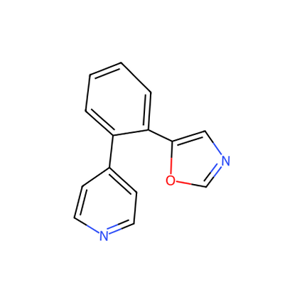 c1ccc(-c2cnco2)c(-c2ccncc2)c1